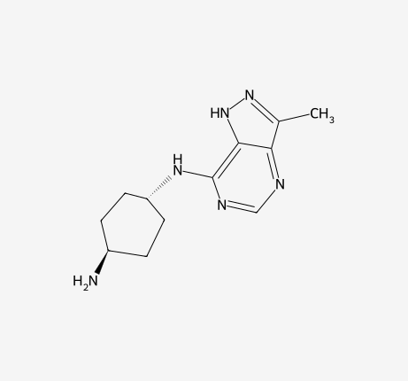 Cc1n[nH]c2c(N[C@H]3CC[C@H](N)CC3)ncnc12